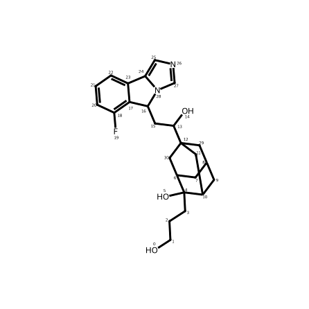 OCCCC1(O)C2CC3CC1CC(C(O)CC1c4c(F)cccc4-c4cncn41)(C3)C2